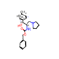 C=C(/C=C\C(=C/C)[C@@H](O)[C@@H](CN1CCCC1)NC(=O)OCc1ccccc1)CCC